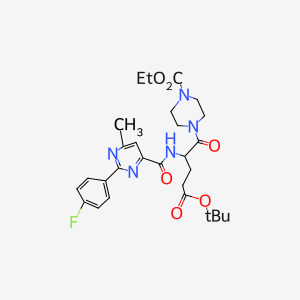 CCOC(=O)N1CCN(C(=O)C(CCC(=O)OC(C)(C)C)NC(=O)c2cc(C)nc(-c3ccc(F)cc3)n2)CC1